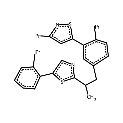 CC(C)c1cc(-c2cc(CC(C)c3ncc(-c4ccccc4C(C)C)s3)ccc2C(C)C)sn1